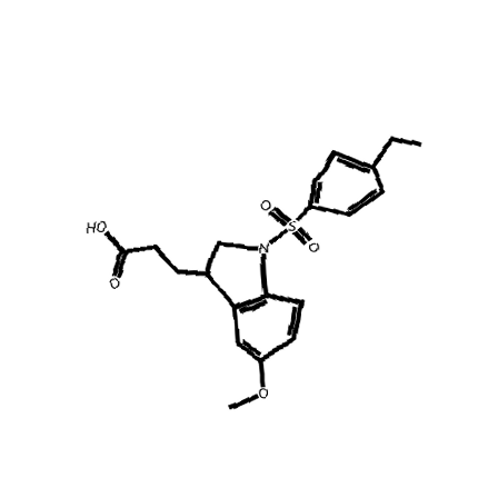 CCc1ccc(S(=O)(=O)N2CC(CCC(=O)O)c3cc(OC)ccc32)cc1